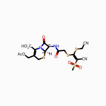 CC(=O)OCC1=C(C(=O)O)N2C(=O)[C@@H](NC(=O)CSC(SCC#N)=C(C#N)S(C)(=O)=O)[C@H]2SC1